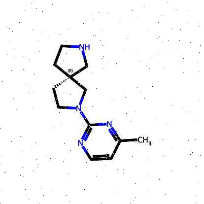 Cc1ccnc(N2CC[C@@]3(CCNC3)C2)n1